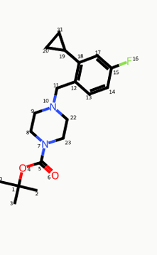 CC(C)(C)OC(=O)N1CCN(Cc2ccc(F)cc2C2CC2)CC1